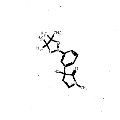 CN1CCC(O)(c2cccc(B3OC(C)(C)C(C)(C)O3)c2)C1=O